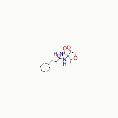 CC1OCC(=O)C1(NC(=O)[CH]CC1CCCCC1)C(N)=O